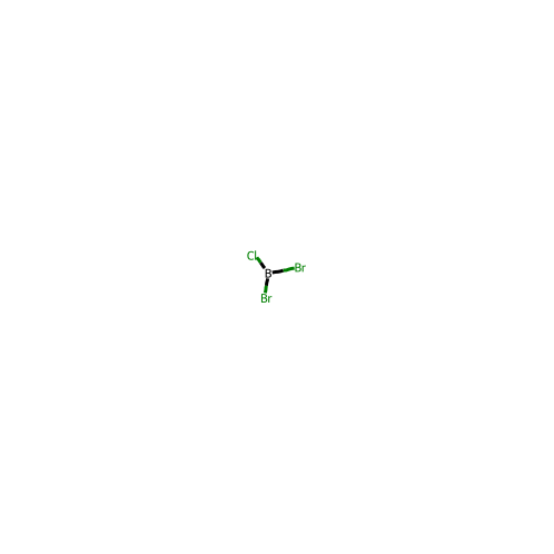 ClB(Br)Br